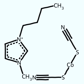 CCCC[n+]1ccn(C)c1.N#C[S][Co][S]C#N